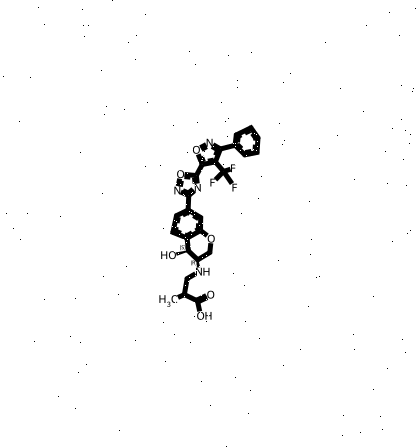 CC(CN[C@@H]1COc2cc(-c3noc(-c4onc(-c5ccccc5)c4C(F)(F)F)n3)ccc2[C@@H]1O)C(=O)O